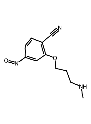 CNCCCOc1cc(N=O)ccc1C#N